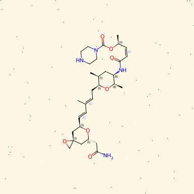 CC(/C=C/[C@@H]1C[C@]2(CO2)C[C@@H](CC(N)=O)O1)=C\C[C@@H]1O[C@H](C)[C@H](NC(=O)/C=C\[C@H](C)OC(=O)N2CCNCC2)C[C@@H]1C